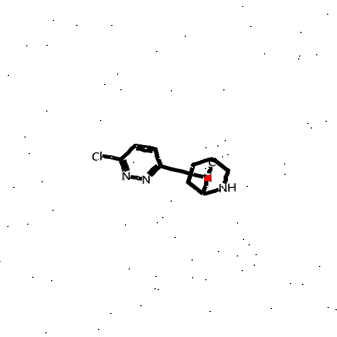 Clc1ccc(N2CC3CCC(C2)NC3)nn1